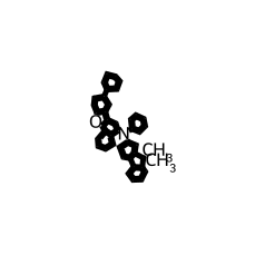 CC1(C)c2ccccc2-c2ccc(N(c3ccccc3)c3cc4c5cc(-c6ccccc6)ccc5oc4c4ccccc34)cc21